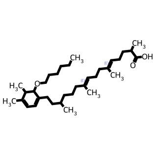 CCCCCCOC1C(CCC(C)CCC/C(C)=C/CC/C(C)=C/CCC(C)C(=O)O)=CC=C(C)C1C